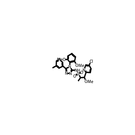 COc1cccc(OC)c1-n1c(NS(=O)(=O)C(C)C(OC)c2ccc(Cl)cn2)nnc1-c1cncc(C)c1